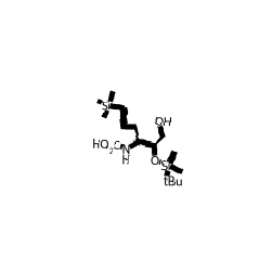 CC(C)(C)[Si](C)(C)O[C@H](CO)[C@H](CC=C[Si](C)(C)C)NC(=O)O